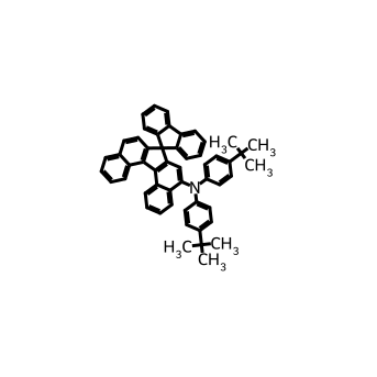 CC(C)(C)c1ccc(N(c2ccc(C(C)(C)C)cc2)c2cc3c(c4ccccc24)-c2c(ccc4ccccc24)C32c3ccccc3-c3ccccc32)cc1